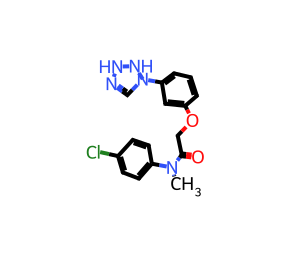 CN(C(=O)COc1cccc(N2C=NNN2)c1)c1ccc(Cl)cc1